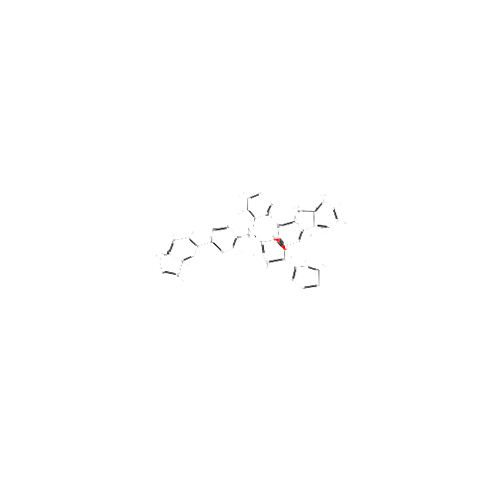 c1ccc(-c2ccc(N(c3ccc(-c4ccc5sccc5c4)cc3)c3ccccc3-c3cccc4c3sc3ccccc34)cc2)cc1